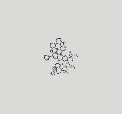 Cc1ccccc1N1c2cc(-c3ccccc3)cc3c2B(c2cc4c(cc2N3c2ccc3c(c2)C(C)(C)CCC3(C)C)C(C)(C)CCC4(C)C)c2ccc3oc4ccccc4c3c21